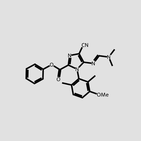 COc1ccc(C)c(-n2c(C(=O)Oc3ccccc3)nc(C#N)c2/N=C/N(C)C)c1C